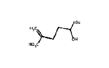 C=C(CCC(O)CCCC)C(=O)O